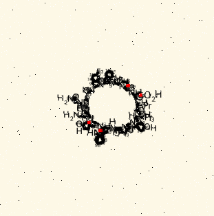 CCCC[C@H]1C(=O)N2CCC[C@@H]2C(=O)N[C@@H](CC(=O)O)C(=O)N[C@@H](C(C)C)C(=O)N(C)[C@@H](CC(C)C)C(=O)N[C@@H](Cc2ccc(O)cc2)C(=O)N2CCC[C@@H]2C(=O)N[C@@H](Cc2c[nH]c3ccccc23)C(=O)N[C@@H](Cc2ccc(O)cc2)C(=O)N[C@@H](CCCN)C(=O)N[C@H](C(=O)NCC(N)=O)CSCC(=O)N[C@@H](Cc2ccc(F)cc2)C(=O)N(C)[C@@H](Cc2ccccc2)C(=O)N1C